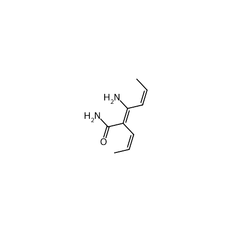 C\C=C/C(N)=C(\C=C/C)C(N)=O